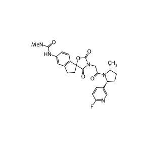 CNC(=O)Nc1ccc2c(c1)CCC21OC(=O)N(CC(=O)N2[C@H](C)CC[C@H]2c2ccc(F)nc2)C1=O